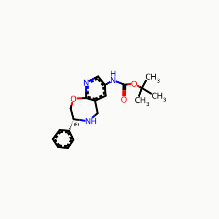 CC(C)(C)OC(=O)Nc1cnc2c(c1)CN[C@H](c1ccccc1)CO2